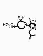 O=C(O)NC1CCN(c2c([N+](=O)[O-])cnn2CC(F)F)CC(F)(F)C1